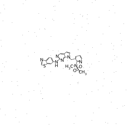 CN(c1ncccc1Cn1ccc2cnc(Nc3ccc4ncsc4c3)nc21)S(C)(=O)=O